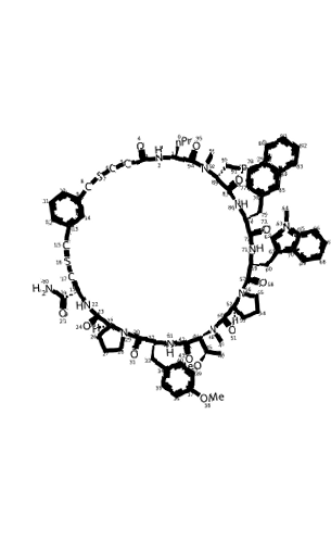 CCC[C@@H]1NC(=O)CCSCc2cccc(c2)CSC[C@@H](C(N)=O)NC(=O)[C@@H]2CCCN2C(=O)[C@H](Cc2ccc(OC)cc2)NC(=O)[C@H]([C@@H](C)OC)N(C)C(=O)[C@@H]2CCCN2C(=O)[C@H](Cc2cn(C)c3ccccc23)NC(=O)[C@H](Cc2ccc3ccccc3c2)NC(=O)[C@@H](CC(C)C)N(C)C1=O